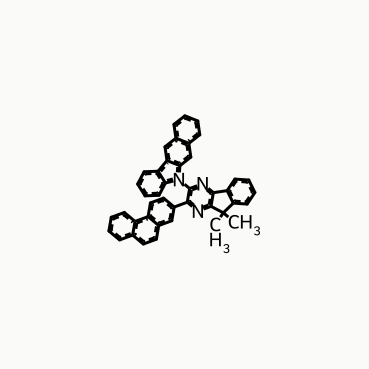 CC1(C)c2ccccc2-c2nc(-n3c4ccccc4c4cc5ccccc5cc43)c(-c3ccc4c(ccc5ccccc54)c3)nc21